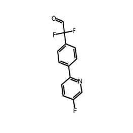 O=CC(F)(F)c1ccc(-c2ccc(F)cn2)cc1